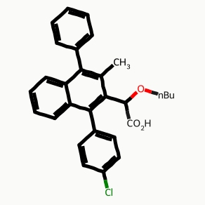 CCCCOC(C(=O)O)c1c(C)c(-c2ccccc2)c2ccccc2c1-c1ccc(Cl)cc1